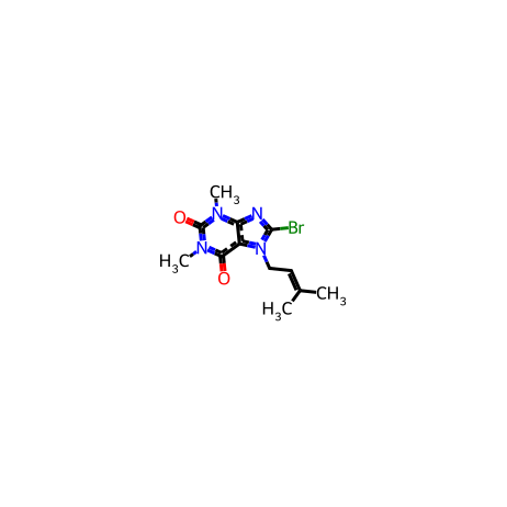 CC(C)=CCn1c(Br)nc2c1c(=O)n(C)c(=O)n2C